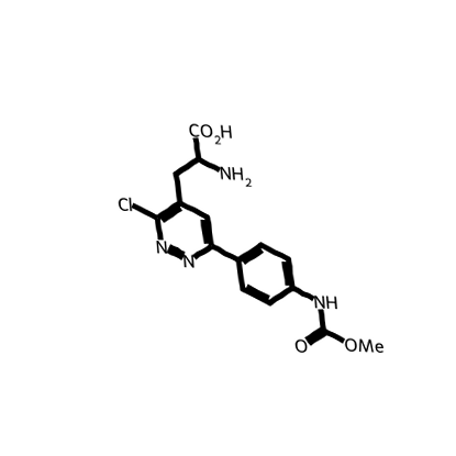 COC(=O)Nc1ccc(-c2cc(CC(N)C(=O)O)c(Cl)nn2)cc1